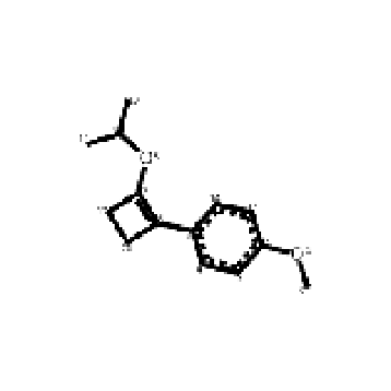 COc1ccc(C2=C(OC(C)C)CC2)cc1